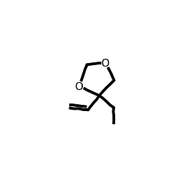 C=CC1(CC)COCO1